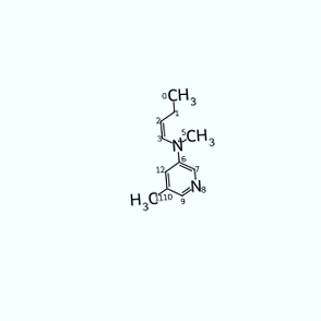 CC/C=C\N(C)c1cncc(C)c1